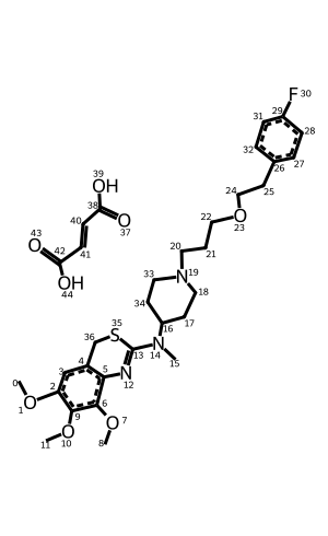 COc1cc2c(c(OC)c1OC)N=C(N(C)C1CCN(CCCOCCc3ccc(F)cc3)CC1)SC2.O=C(O)C=CC(=O)O